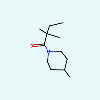 CCC(C)(C)C(=O)N1CCC(C)CC1